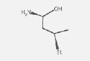 CC[C@H](C)C[C@@H](N)O